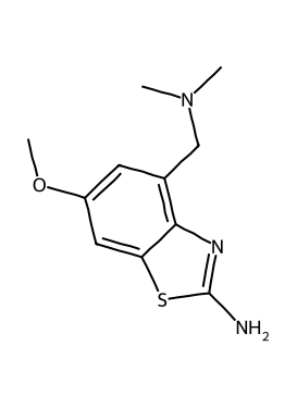 COc1cc(CN(C)C)c2nc(N)sc2c1